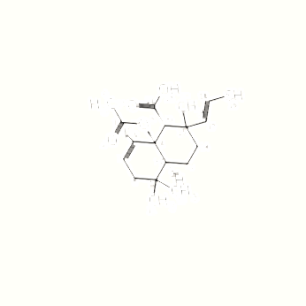 CC(=O)O[C@]12C(I)=CCC(C)(C)[C@@H]1CCC(C)(/C=C/S)[C@@H]2C(=O)O